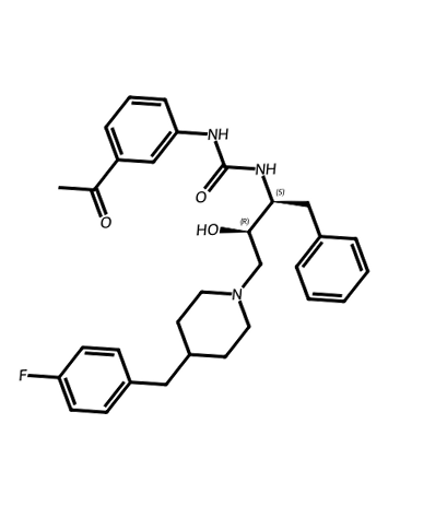 CC(=O)c1cccc(NC(=O)N[C@@H](Cc2ccccc2)[C@H](O)CN2CCC(Cc3ccc(F)cc3)CC2)c1